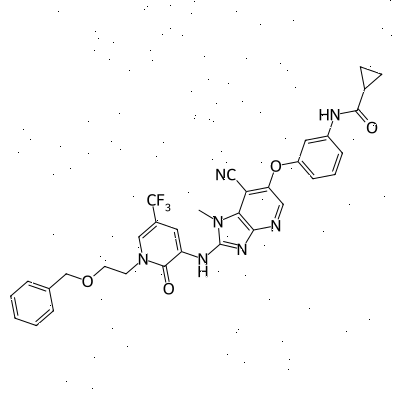 Cn1c(Nc2cc(C(F)(F)F)cn(CCOCc3ccccc3)c2=O)nc2ncc(Oc3cccc(NC(=O)C4CC4)c3)c(C#N)c21